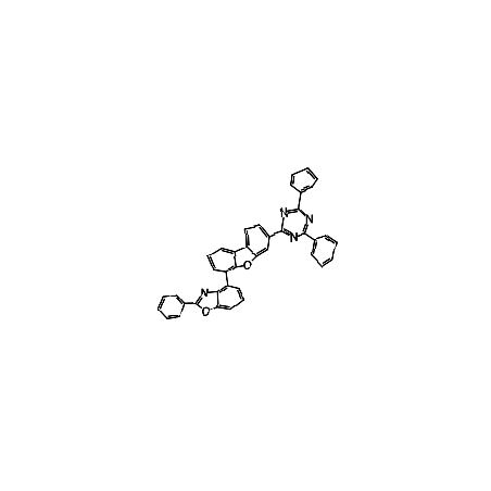 c1ccc(-c2nc(-c3ccccc3)nc(-c3ccc4c(c3)oc3c(-c5cccc6oc(-c7ccccc7)nc56)cccc34)n2)cc1